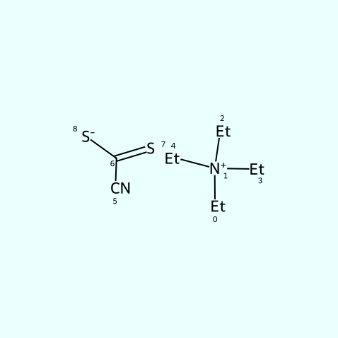 CC[N+](CC)(CC)CC.N#CC(=S)[S-]